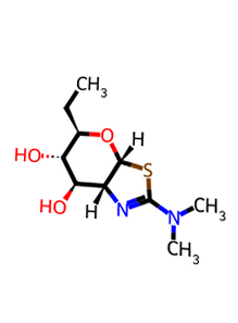 CC[C@H]1O[C@@H]2SC(N(C)C)=N[C@@H]2[C@@H](O)[C@@H]1O